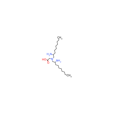 CCCCCCCCC(N)CN(CC(=O)O)CC(N)CCCCCCCC